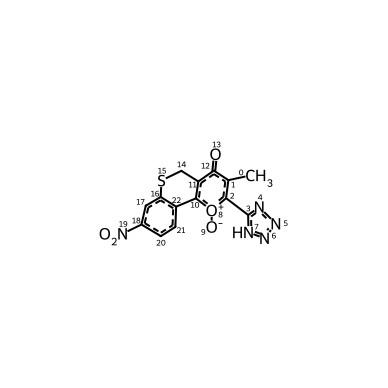 Cc1c(-c2nnn[nH]2)[o+]([O-])c2c(c1=O)CSc1cc([N+](=O)[O-])ccc1-2